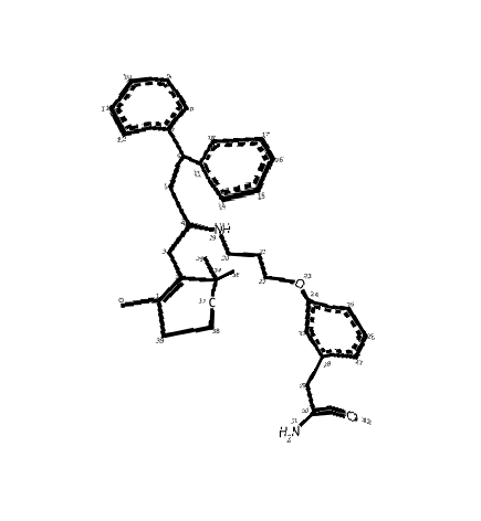 CC1=C(CC(CC(c2ccccc2)c2ccccc2)NCCCOc2cccc(CC(N)=O)c2)C(C)(C)CCC1